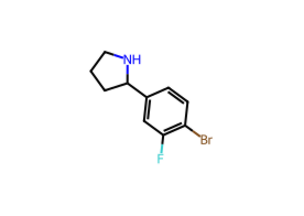 Fc1cc(C2CCCN2)ccc1Br